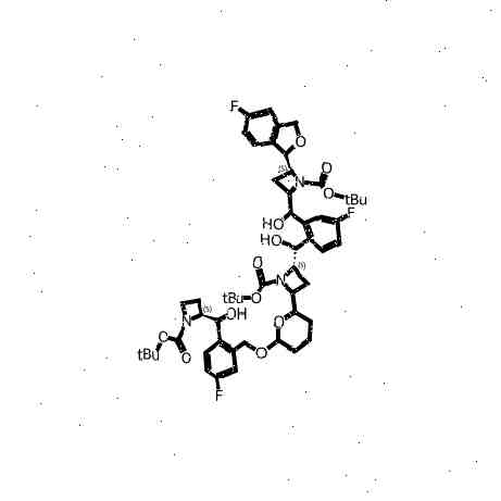 CC(C)(C)OC(=O)N1CC[C@H]1C(O)c1ccc(F)cc1COC1CCCC(C2C[C@@H](C(O)c3ccc(F)cc3C(O)C3C[C@@H](C4OCc5cc(F)ccc54)N3C(=O)OC(C)(C)C)N2C(=O)OC(C)(C)C)O1